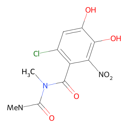 CNC(=O)N(C)C(=O)c1c(Cl)cc(O)c(O)c1[N+](=O)[O-]